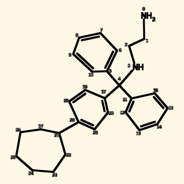 NCCNC(c1ccccc1)(c1ccccc1)c1ccc(C2CCCCCC2)cc1